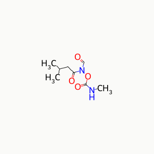 CNC(=O)ON(C=O)C(=O)CC(C)C